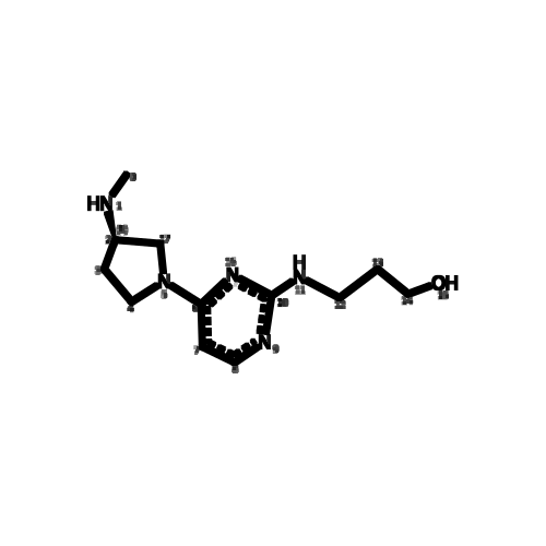 CN[C@@H]1CCN(c2ccnc(NCCCO)n2)C1